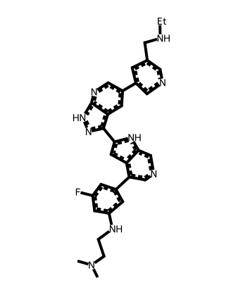 CCNCc1cncc(-c2cnc3[nH]nc(-c4cc5c(-c6cc(F)cc(NCCN(C)C)c6)cncc5[nH]4)c3c2)c1